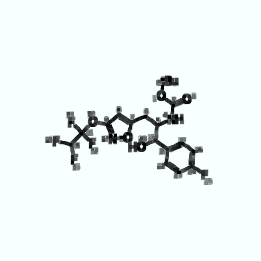 CC(C)(C)OC(=O)NC(Cc1cc(OC(F)(F)C(F)F)no1)C(O)c1ccc(F)cc1